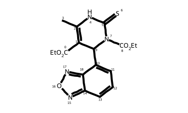 CCOC(=O)C1=C(C)NC(=S)N(C(=O)OCC)C1c1cccc2nonc12